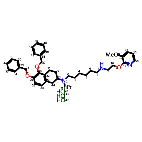 CCCN(CCCCCCNCCOc1ncccc1OC)C1CCc2c(ccc(OCc3ccccc3)c2OCc2ccccc2)C1.Cl.Cl.Cl